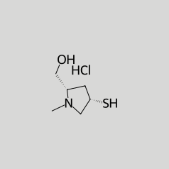 CN1C[C@@H](S)C[C@H]1CO.Cl